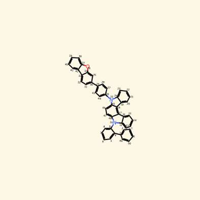 c1ccc(-c2ccccc2-n2c3ccccc3c3c4c5ccccc5n(-c5ccc(-c6ccc7c(c6)oc6ccccc67)cc5)c4ccc32)cc1